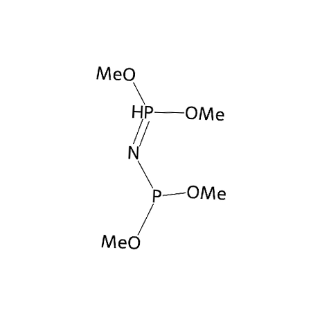 COP(N=[PH](OC)OC)OC